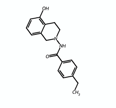 CCc1ccc(C(=O)NN2CCc3c(O)cccc3C2)cc1